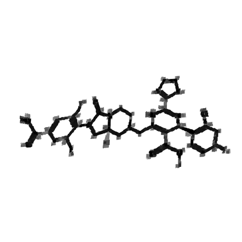 COC(=O)C1=C(CN2CCN3C(=O)N(c4c(F)cc(C(=O)O)cc4F)C[C@@H]3C2)NC(c2nccs2)=N[C@H]1c1ccc(F)cc1Cl